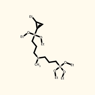 CCO[Si](CCCN(C)CCC[Si](OCC)(OCC)C1=CC1CC)(OCC)OCC